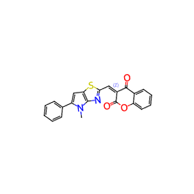 Cn1c(-c2ccccc2)cc2sc(/C=C3\C(=O)Oc4ccccc4C3=O)nc21